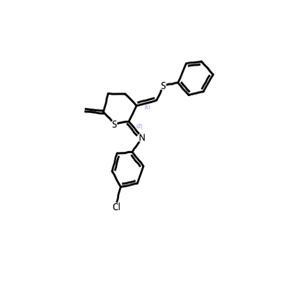 C=C1CCC(=C\Sc2ccccc2)/C(=N/c2ccc(Cl)cc2)S1